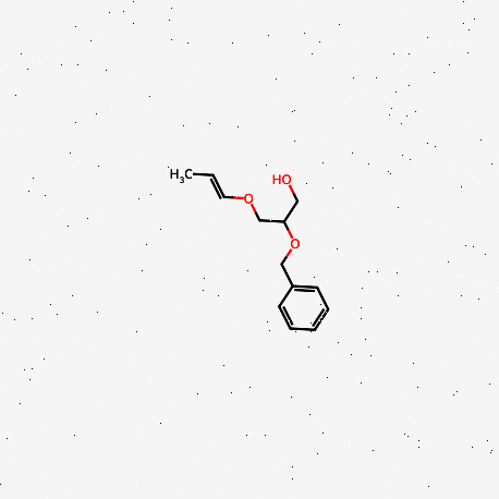 CC=COCC(CO)OCc1ccccc1